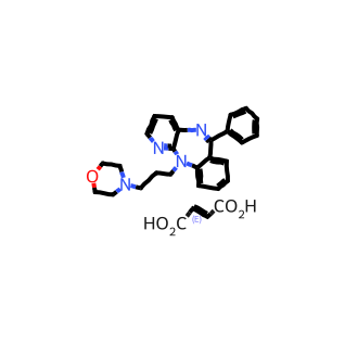 O=C(O)/C=C/C(=O)O.c1ccc(C2=Nc3cccnc3N(CCCN3CCOCC3)c3ccccc32)cc1